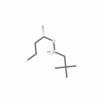 C[C@@H](CCI)O[SiH2]CC(C)(C)C